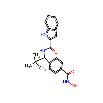 CC(C)(C)C(NC(=O)c1cc2ccccc2[nH]1)c1ccc(C(=O)NO)cc1